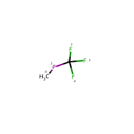 C[P]C(F)(F)F